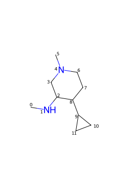 CNC1CN(C)CCC1C1CC1